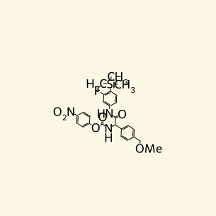 COCc1ccc([C@@H](NC(=O)Oc2ccc([N+](=O)[O-])cc2)C(=O)Nc2ccc([Si](C)(C)C)c(F)c2)cc1